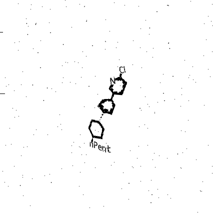 CCCCC[C@H]1CC[C@H](c2ccc(-c3ccc(Cl)nc3)cc2)CC1